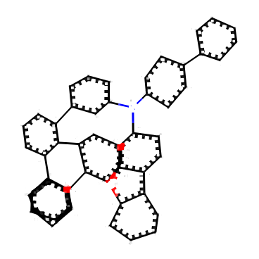 c1ccc(-c2ccc(N(c3cccc(-c4cccc(-c5ccccc5)c4-c4ccccc4-c4ccccc4)c3)c3ccc4c(c3)oc3ccccc34)cc2)cc1